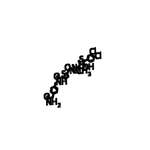 C/C(=N\NC(=O)c1ccc(C(=O)NCc2ccc(CC(N)=O)cc2)s1)c1csc(-c2ccc(Cl)c(Cl)c2)c1O